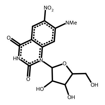 CNc1cc2c(cc1[N+](=O)[O-])c(=O)[nH]c(=O)n2C1OC(CO)C(O)C1O